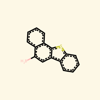 Bc1cc2c3ccccc3sc2c2ccccc12